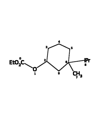 CCOC(=O)OC1CCCC(C)(C(C)C)C1